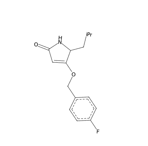 CC(C)CC1NC(=O)C=C1OCc1ccc(F)cc1